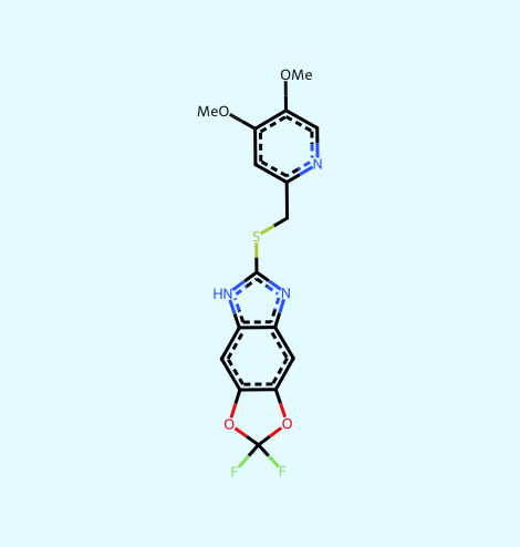 COc1cnc(CSc2nc3cc4c(cc3[nH]2)OC(F)(F)O4)cc1OC